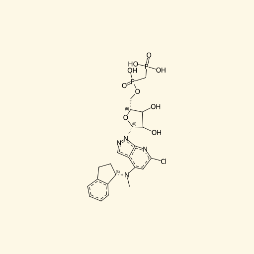 CN(c1cc(Cl)nc2c1cnn2[C@@H]1O[C@H](COP(=O)(O)CP(=O)(O)O)C(O)C1O)[C@H]1CCc2ccccc21